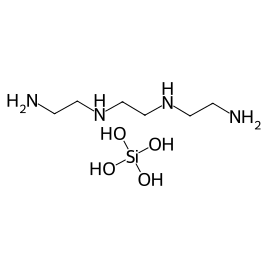 NCCNCCNCCN.O[Si](O)(O)O